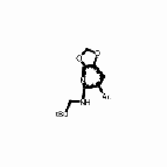 CC(=O)c1cc2c(nc1NCC(C)(C)C)OCO2